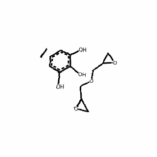 C(OCC1CO1)C1CO1.CC.Oc1cccc(O)c1O